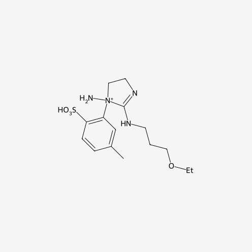 CCOCCCNC1=NCC[N+]1(N)c1cc(C)ccc1S(=O)(=O)O